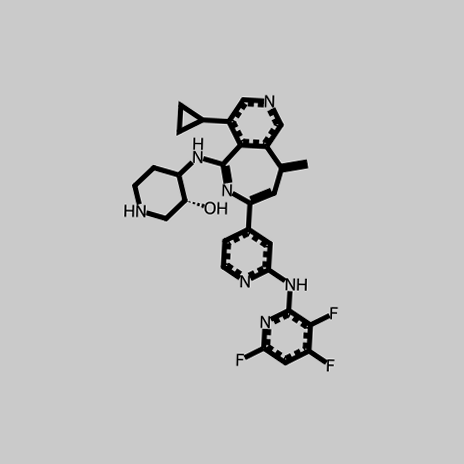 C=C1C=C(c2ccnc(Nc3nc(F)cc(F)c3F)c2)N=C(NC2CCNC[C@H]2O)c2c1cncc2C1CC1